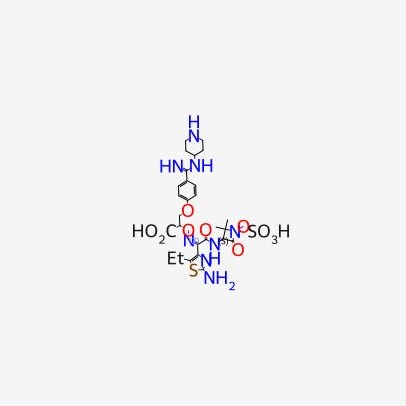 CCc1sc(N)nc1/C(=N/OC(COc1ccc(C(=N)NC2CCNCC2)cc1)C(=O)O)C(=O)N[C@@H]1C(=O)N(OS(=O)(=O)O)C1(C)C